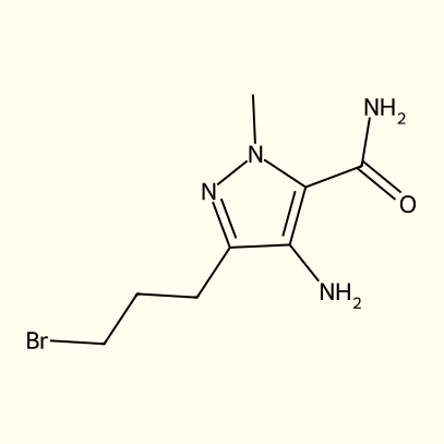 Cn1nc(CCCBr)c(N)c1C(N)=O